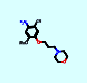 COc1cc(N)c(C#N)cc1OCCCN1CCOCC1